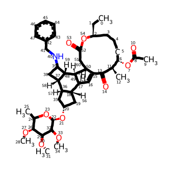 CC[C@H]1CCC[C@H](OC(C)=O)[C@@H](C)C(=O)C2=C[C@H]3[C@@H]4C[C@H](O[C@@H]5OC(C)[C@H](OC)C(OC)C5OC)C[C@H]4[C@@H]4CC(NCc5ccccc5)[C@@H]4[C@H]3[C@@H]2CC(=O)O1